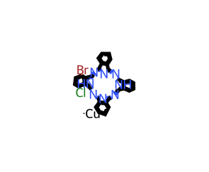 Clc1ccc(Br)c2c3nc4nc(nc5[nH]c(nc6nc(nc([nH]3)c12)-c1ccccc1-6)c1ccccc51)-c1ccccc1-4.[Cu]